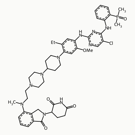 CCc1cc(Nc2ncc(Cl)c(Nc3ccccc3P(C)(C)=O)n2)c(OC)cc1N1CCC(N2CCN(CCN(C)c3cccc4c3CN(C3CCC(=O)NC3=O)C4=O)CC2)CC1